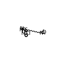 Cc1nnc2n1-c1sc(CCCCCCCCCCN3CC(C)OC(C)C3)cc1C(c1ccccc1Cl)=NC2